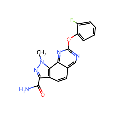 Cn1nc(C(N)=O)c2ccc3cnc(Oc4ccccc4F)nc3c21